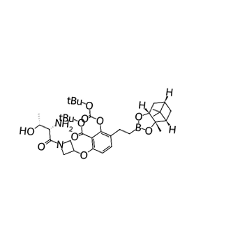 C[C@@H](O)[C@H](N)C(=O)N1CC(Oc2ccc(CCB3O[C@@H]4C[C@@H]5C[C@@H](C5(C)C)[C@]4(C)O3)c(OC(=O)OC(C)(C)C)c2C(=O)OC(C)(C)C)C1